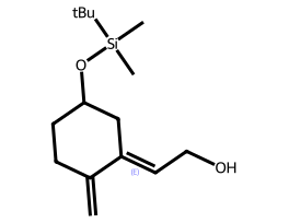 C=C1CCC(O[Si](C)(C)C(C)(C)C)C/C1=C\CO